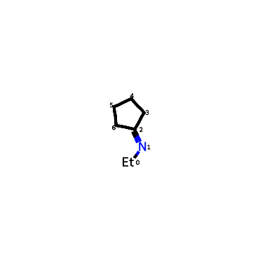 CCN=C1CCCC1